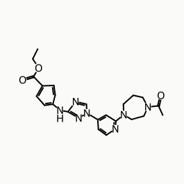 CCOC(=O)c1ccc(Nc2ncn(-c3ccnc(N4CCCN(C(C)=O)CC4)c3)n2)cc1